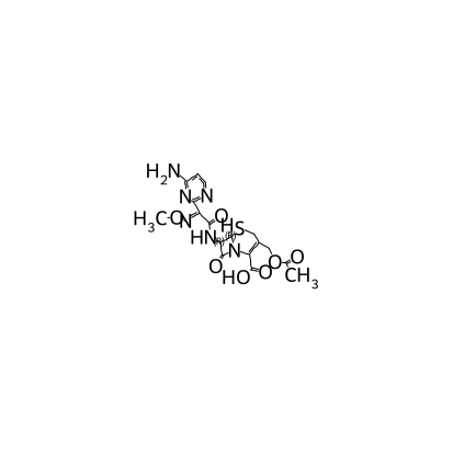 CON=C(C(=O)N[C@@H]1C(=O)N2C(C(=O)O)=C(COC(C)=O)CS[C@H]12)c1nccc(N)n1